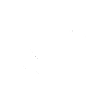 C=CC(=O)OCCCCCN(/N=C/c1cc(C)ccc1C)c1nc2ccccc2s1